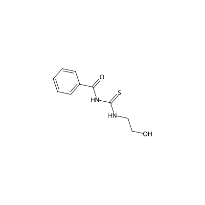 O=C(NC(=S)NCCO)c1ccccc1